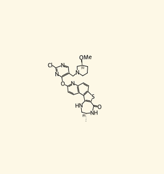 CO[C@H]1CCCN(Cc2cnc(Cl)nc2Oc2ccc3c(ccc4sc5c(c43)NC[C@@H](C)NC5=O)n2)C1